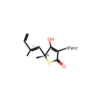 C=C/C(C)=C/[C@@]1(C)SC(=O)C(CCCCC)=C1O